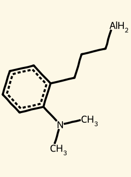 CN(C)c1ccccc1CC[CH2][AlH2]